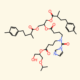 Cc1ccc(CCC(C)C(=O)OCC(COC(=O)C(C)CCc2ccc(C)cc2)OC(=O)CCCN(CCCC(=O)OC(CO)COC(C)C)C(=O)n2ccnc2)cc1